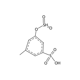 Cc1cc(O[SH](=O)=O)cc(S(=O)(=O)O)c1